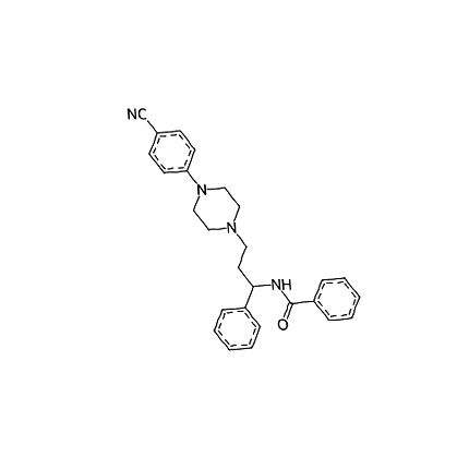 N#Cc1ccc(N2CCN(CCC(NC(=O)c3ccccc3)c3ccccc3)CC2)cc1